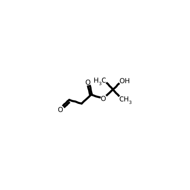 CC(C)(O)OC(=O)CC=O